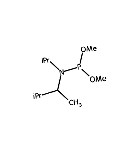 COP(OC)N(C(C)C)C(C)C(C)C